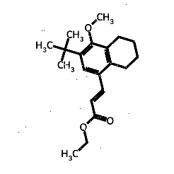 CCOC(=O)/C=C/c1cc(C(C)(C)C)c(OC)c2c1CCCC2